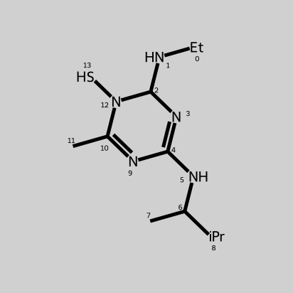 CCNC1N=C(NC(C)C(C)C)N=C(C)N1S